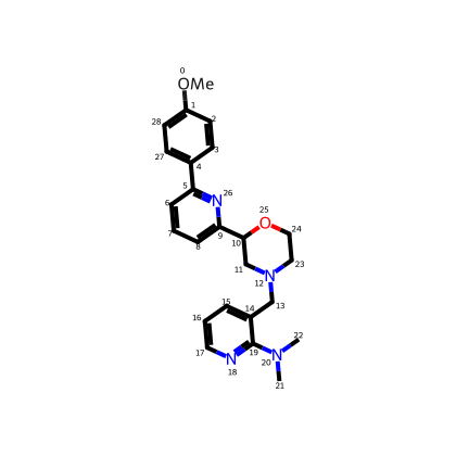 COc1ccc(-c2cccc(C3CN(Cc4cccnc4N(C)C)CCO3)n2)cc1